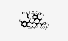 CCOC(=O)c1sc2c(c1C)c(=O)n(C(C)C(=O)O)c(=O)n2C[C@H](OCCO)c1cc(F)ccc1OC